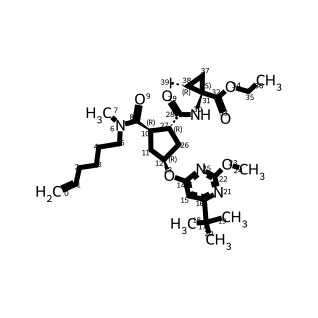 C=CCCCCN(C)C(=O)[C@@H]1C[C@H](Oc2cc(C(C)(C)C)nc(OC)n2)C[C@H]1C(=O)N[C@]1(C(=O)OCC)C[C@H]1I